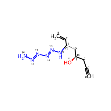 C#CC[C@@H](O)C[C@@H](C=C)NN=NN=NN